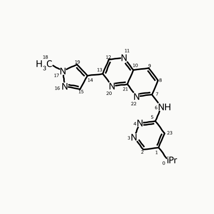 CC(C)c1cnnc(Nc2ccc3ncc(-c4cnn(C)c4)nc3n2)c1